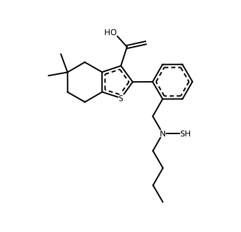 C=C(O)c1c(-c2ccccc2CN(S)CCCC)sc2c1CC(C)(C)CC2